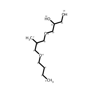 CCCCOCC(C)COCC(O)CO